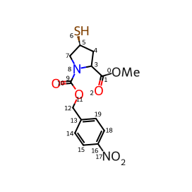 COC(=O)C1C[C@H](S)CN1C(=O)OCc1ccc([N+](=O)[O-])cc1